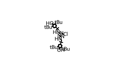 CC(C)(C)c1cc(C(C)(C)CNc2nc(Cl)nc(NCC(C)(C)c3cc(C(C)(C)C)c(O)c(C(C)(C)C)c3)n2)cc(C(C)(C)C)c1O